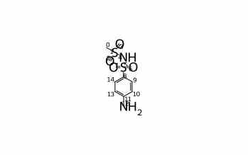 CS(=O)(=O)NS(=O)(=O)c1ccc(N)cc1